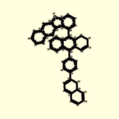 C1=CC2=CC=C(c3ccc(-c4c5c(c(-c6cccc7oc8cc9ccccc9cc8c67)c6ccccc46)CCC=C5)cc3)CC2C=C1